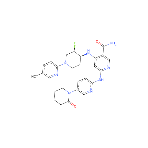 N#Cc1ccc(N2CC[C@H](Nc3cc(Nc4ccc(N5CCCCC5=O)cn4)ncc3C(N)=O)[C@H](F)C2)nc1